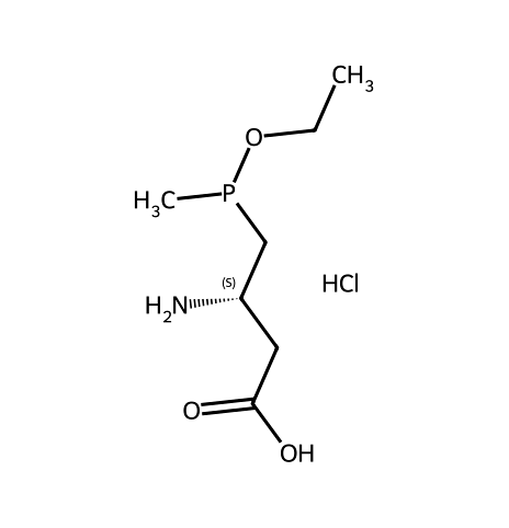 CCOP(C)C[C@@H](N)CC(=O)O.Cl